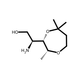 C[C@H]1OCCC(C)(C)O[C@H]1[C@@H](N)CO